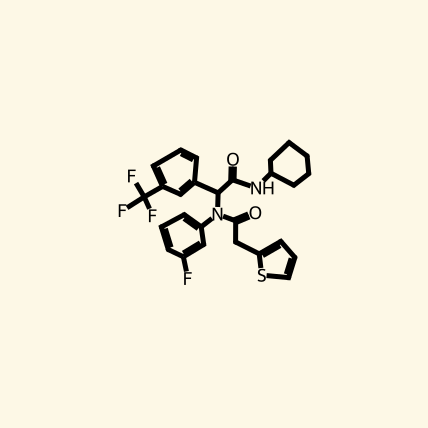 O=C(NC1CCCCC1)C(c1cccc(C(F)(F)F)c1)N(C(=O)Cc1cccs1)c1cccc(F)c1